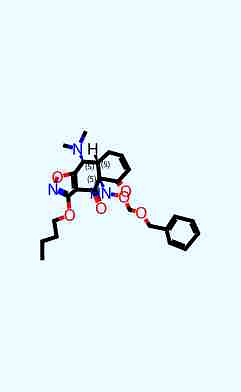 CCCCOc1noc2c1C(=O)[C@@]1(NOCOCc3ccccc3)C(=O)C=CC[C@H]1[C@@H]2N(C)C